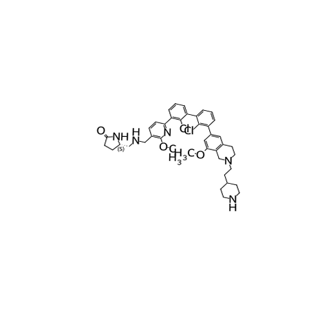 COc1cc(-c2cccc(-c3cccc(-c4ccc(CNC[C@@H]5CCC(=O)N5)c(OC)n4)c3Cl)c2Cl)cc2c1CN(CCC1CCNCC1)CC2